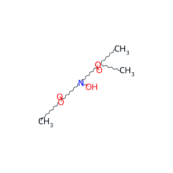 CCCCCCCCCCOC(=O)CCCCCCCCN(CCO)CCCCCCCC(=O)OC(CCCCCCCC)CCCCCCCC